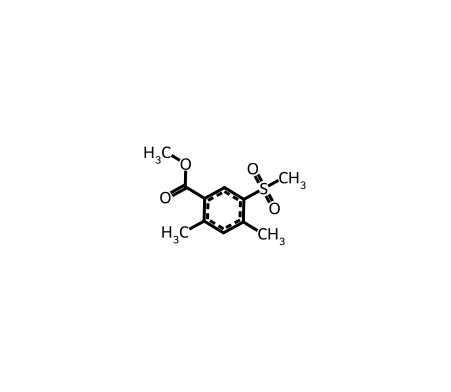 COC(=O)c1cc(S(C)(=O)=O)c(C)cc1C